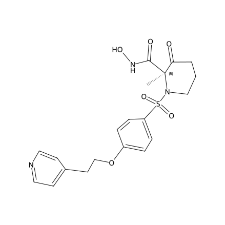 C[C@]1(C(=O)NO)C(=O)CCCN1S(=O)(=O)c1ccc(OCCc2ccncc2)cc1